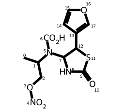 CC(CO[N+](=O)[O-])N(C(=O)O)C1NC(=O)SC1c1ccoc1